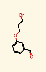 O=Cc1cccc(OCCCBr)c1